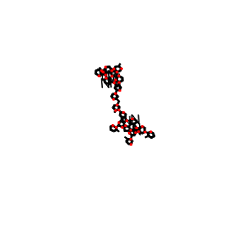 Cc1cccc(-c2ccc3c4ccccc4n(-c4cncc(-n5c6ccccc6c6ccc(-c7cccc(Cc8ccc(C)c(-c9ccc%10c(c9)c9cc(-c%11ccccc%11C)ccc9n%10-c9cncc(-n%10c%11ccc(-c%12ccccc%12C)cc%11c%11cc(-c%12ccccc%12C)ccc%11%10)c9-c9ccccc9C#N)c8)c7)cc65)c4-c4ccccc4C#N)c3c2)c1